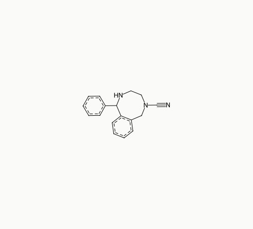 N#CN1CCNC(c2ccccc2)c2ccccc2C1